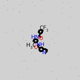 Cc1ccc(NC(=O)c2ccc(C(F)(F)F)cc2)cc1NC(=O)c1ccc2ncccc2c1